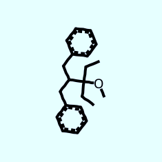 CCC(CC)(OC)C(Cc1ccccc1)Cc1ccccc1